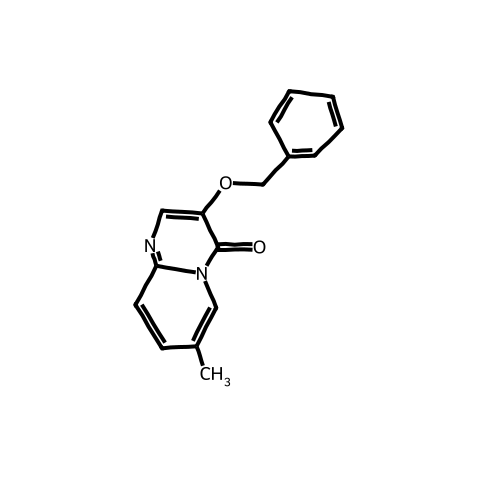 Cc1ccc2ncc(OCc3ccccc3)c(=O)n2c1